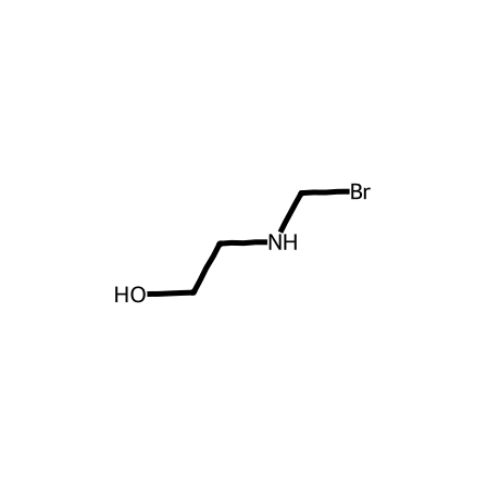 OCCNCBr